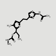 CCC(OC(=O)NN)c1sc(CCc2csc(NC(C)=O)n2)cc1C